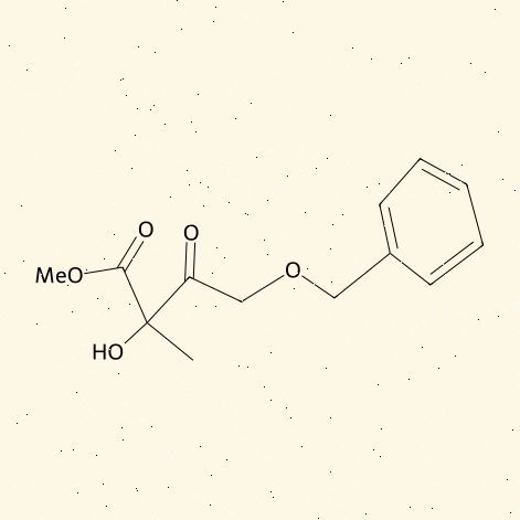 COC(=O)C(C)(O)C(=O)COCc1ccccc1